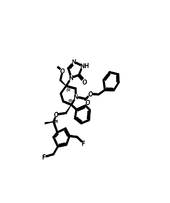 COC[C@]1(n2cn[nH]c2=O)CC[C@@](CO[C@H](C)c2cc(CF)cc(CF)c2)(c2ccccc2)N(C(=O)OCc2ccccc2)C1